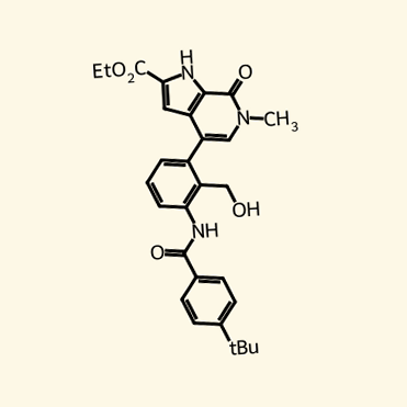 CCOC(=O)c1cc2c(-c3cccc(NC(=O)c4ccc(C(C)(C)C)cc4)c3CO)cn(C)c(=O)c2[nH]1